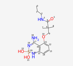 CCCNC(=O)C(C)(C)COc1cccc2c1C(N)=NS(O)(O)N2